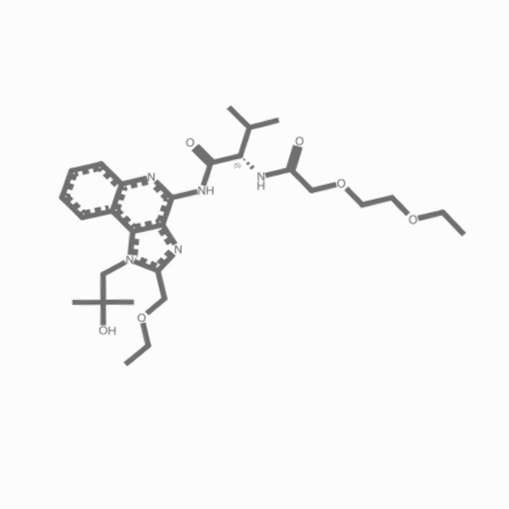 CCOCCOCC(=O)N[C@H](C(=O)Nc1nc2ccccc2c2c1nc(COCC)n2CC(C)(C)O)C(C)C